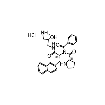 Cl.NCC(O)CNC(=O)[C@@H](Cc1ccc2ccccc2c1)N(C(=O)c1ccccc1)C(=O)[C@@H]1CCCN1